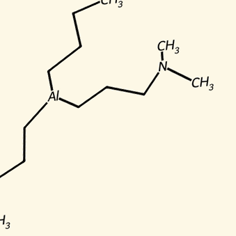 CCC[CH2][Al]([CH2]CCC)[CH2]CCN(C)C